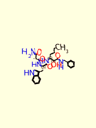 CCCC[C@H](NC(=O)[C@H](Cc1c[nH]c2ccccc12)NC(=O)[CH]C(N)=O)[C@H](O)C(=O)NCc1ccccc1